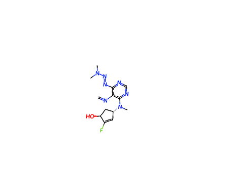 C=Nc1c(/N=N/N(C)C)ncnc1N(C)[C@@H]1C=C(F)[C@@H](O)C1